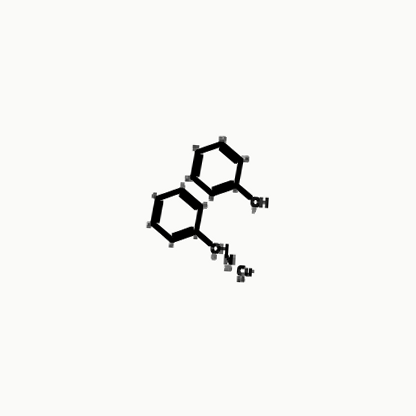 Oc1ccccc1.Oc1ccccc1.[Cu].[Ni]